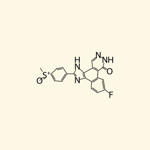 C[S+]([O-])c1ccc(-c2nc3c4ccc(F)cc4c4c(=O)[nH]ncc4c3[nH]2)cc1